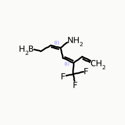 BC/C=C(N)\C=C(/C=C)C(F)(F)F